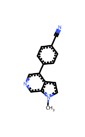 Cn1ccc2c(-c3ccc(C#N)cc3)cncc21